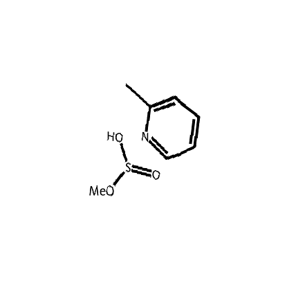 COS(=O)O.Cc1ccccn1